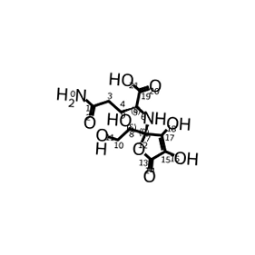 NC(=O)CC[C@H](N[C@]1([C@@H](O)CO)OC(=O)C(O)=C1O)C(=O)O